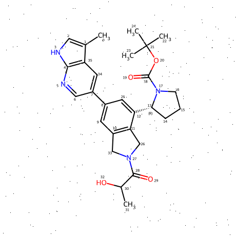 Cc1c[nH]c2ncc(-c3cc4c(c([C@H]5CCCN5C(=O)OC(C)(C)C)c3)CN(C(=O)C(C)O)C4)cc12